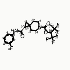 O=C(Nc1cccc(F)c1)[C@H]1CC12CCN(C(=O)OC(C(F)(F)F)C(F)(F)F)CC2